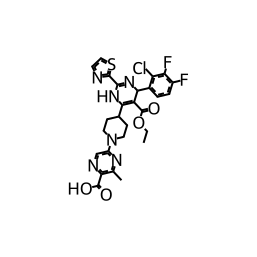 CCOC(=O)C1=C(C2CCN(c3cnc(C(=O)O)c(C)n3)CC2)NC(c2nccs2)=NC1c1ccc(F)c(F)c1Cl